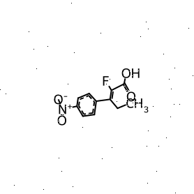 CCC(=C(F)C(=O)O)c1ccc([N+](=O)[O-])cc1